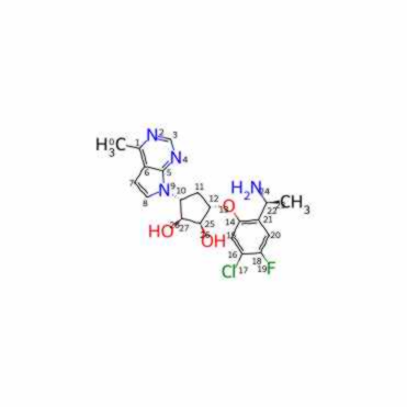 Cc1ncnc2c1ccn2[C@@H]1C[C@H](Oc2cc(Cl)c(F)cc2[C@H](C)N)[C@@H](O)[C@H]1O